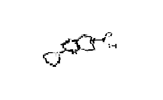 O=C(O)N1CCc2ccc(N3CCCCC3)nc2CC1